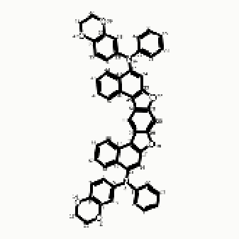 c1ccc(N(c2ccc3c(c2)OCCO3)c2cc3oc4cc5oc6cc(N(c7ccccc7)c7ccc8c(c7)OCCO8)c7ccccc7c6c5cc4c3c3ccccc23)cc1